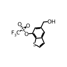 O=S(=O)(Oc1cc(CO)cc2ccsc12)C(F)(F)F